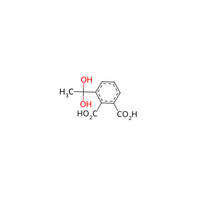 CC(O)(O)c1cccc(C(=O)O)c1C(=O)O